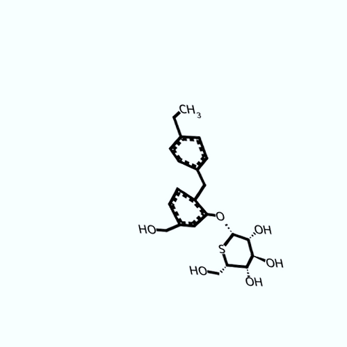 CCc1ccc(Cc2ccc(CO)cc2O[C@H]2S[C@@H](CO)[C@@H](O)[C@H](O)[C@H]2O)cc1